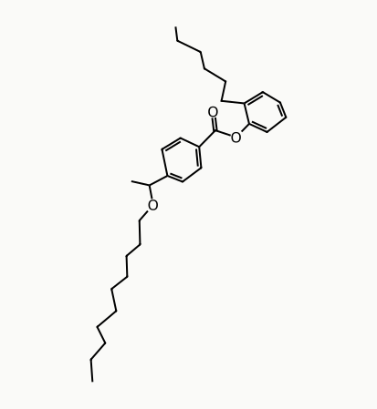 CCCCCCCCCCOC(C)c1ccc(C(=O)Oc2ccccc2CCCCCC)cc1